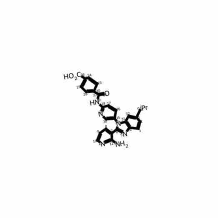 CC(C)c1ccc2nc(-c3cccnc3N)n(-c3ccc(NC(=O)c4ccc(C(=O)O)cc4)nc3)c2c1